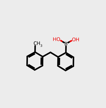 Cc1ccccc1Cc1ccccc1B(O)O